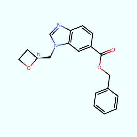 O=C(OCc1ccccc1)c1ccc2ncn(C[C@@H]3CCO3)c2c1